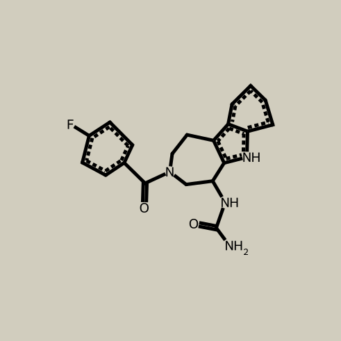 NC(=O)NC1CN(C(=O)c2ccc(F)cc2)CCc2c1[nH]c1ccccc21